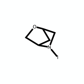 IN1CC2CC1CO2